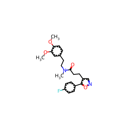 COc1ccc(CCN(C)C(=O)CCc2cnoc2-c2ccc(F)cc2)cc1OC